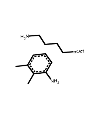 CCCCCCCCCCCCN.Cc1cccc(N)c1C